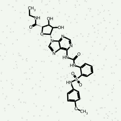 CCNC(=O)[C@H]1O[C@@H](n2cnc3c(NC(=O)Nc4ccccc4S(=O)(=O)Nc4ccc(OC)cc4)ncnc32)C(O)C1O